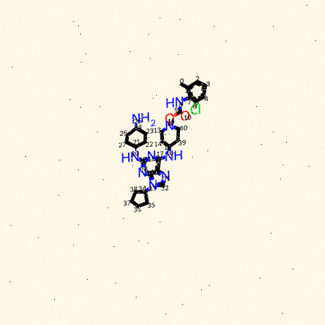 Cc1cccc(Cl)c1NC(=O)ON1CCC(Nc2nc(N[C@H]3CC[C@H](N)CC3)nc3c2ncn3C2CCCC2)CC1